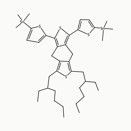 CCCCC(CC)Cc1sc(CC(CC)CCCC)c2c1Cc1c(-c3cc[c]([Sn]([CH3])([CH3])[CH3])s3)sc(-c3cc[c]([Sn]([CH3])([CH3])[CH3])s3)c1C2